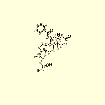 CC(C)[C@H](O)CC[C@@H](C)C1CCC2C3C(CC[C@@]21C)[C@@]1(C)CCC(=O)C[C@@H]1C[C@H]3OC(=O)c1ccccc1